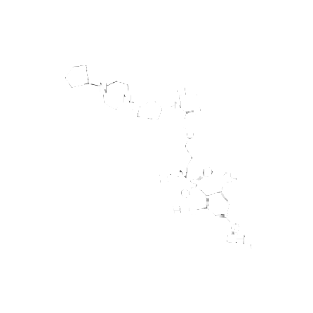 COc1cc(C)c(S(=O)(=O)N(C)CCOCC(=O)N(C)[C@H]2CC[C@@H](N3CCN(C4CCCC4)CC3)C2)c(C)c1